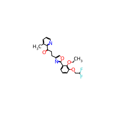 CCOc1c(OCC(F)F)cccc1-c1nc(CCC(=O)c2ncccc2C)co1